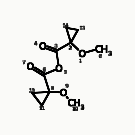 COC1(C(=O)OC(=O)C2(OC)CC2)CC1